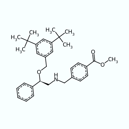 COC(=O)c1ccc(CNC[C@H](OCc2cc(C(C)(C)C)cc(C(C)(C)C)c2)c2ccccc2)cc1